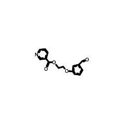 O=Cc1cccc(OCCOC(=O)c2cccnc2)c1